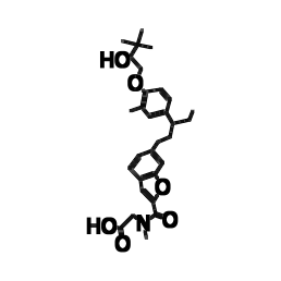 CCC(CCc1ccc2cc(C(=O)N(C)CC(=O)O)oc2c1)c1ccc(OCC(O)C(C)(C)C)c(C)c1